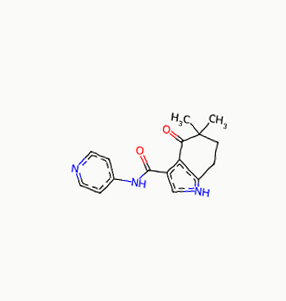 CC1(C)CCc2[nH]cc(C(=O)Nc3ccncc3)c2C1=O